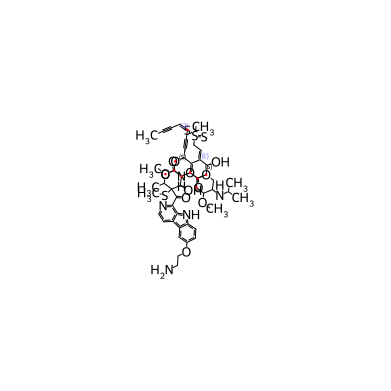 CC#C/C=C\C#C[C@H](OC1OC(C)C(SC)(C(=O)c2nccc3c2[nH]c2ccc(OCCN)cc23)C(O)C1OC1CC(OC)C(NC(C)C)CO1)C1=C(NC(=O)OC)C(=O)C[C@H](O)/C1=C/CS(C)(=S)=S